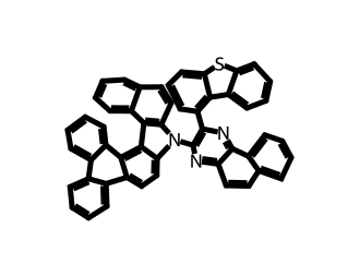 c1ccc2c(c1)ccc1nc(-n3c4ccc5ccccc5c4c4c5c6ccccc6c6ccccc6c5ccc43)c(-c3cccc4sc5ccccc5c34)nc12